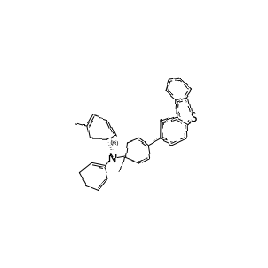 CC1=CC=C[C@H](N(C2=CCCC=C2)C2(C)C=CC(c3ccc4sc5ccccc5c4c3)=CC2)C1